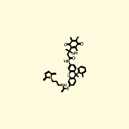 C=C(NCCCn1c(=C)ccc1=C)Sc1ccc2c(c1)Oc1cc(NC(=O)CC(C)(CCC)C3=C(C)C(=O)C(C)=C(C)C3=O)ccc1C2(C)c1ccccc1C